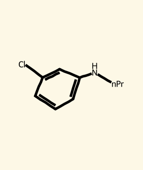 CCCNc1cccc(Cl)c1